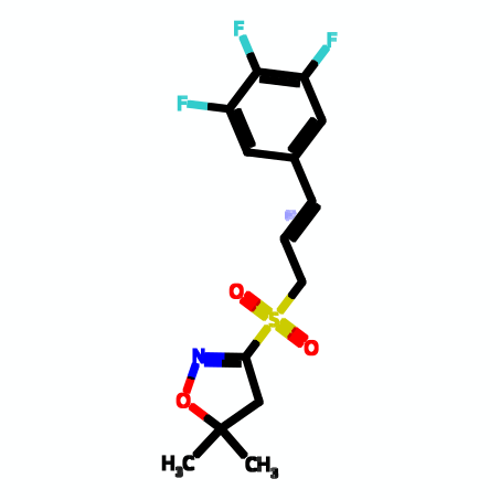 CC1(C)CC(S(=O)(=O)C/C=C/c2cc(F)c(F)c(F)c2)=NO1